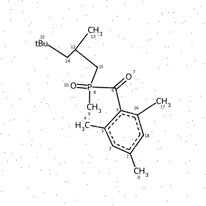 Cc1cc(C)c(C(=O)P(C)(=O)CC(C)CC(C)(C)C)c(C)c1